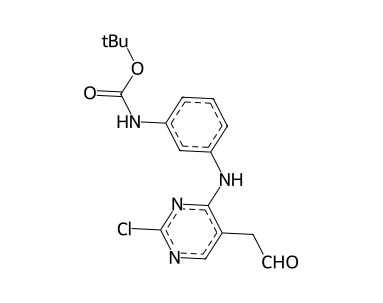 CC(C)(C)OC(=O)Nc1cccc(Nc2nc(Cl)ncc2CC=O)c1